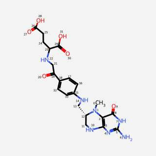 CN1c2c(nc(N)[nH]c2=O)NC[C@@H]1CNc1ccc(C(=O)CNC(CCC(=O)O)C(=O)O)cc1